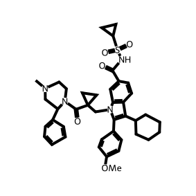 COc1ccc(-c2c(C3CCCCC3)c3ccc(C(=O)NS(=O)(=O)C4CC4)cc3n2CC2(C(=O)N3CCN(C)CC3c3ccccc3)CC2)cc1